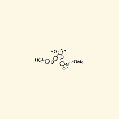 COCCCN1CCOc2ccc(COC3CNCC(O)C3c3ccc(Oc4ccc(C(C)(C)O)cc4)cc3)cc21